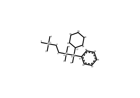 C[Si](C)(C)CC[Si](C)(C)[Si](C)(c1ccccc1)C1CCCCC1